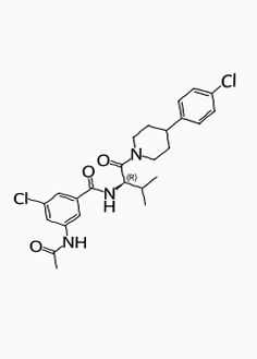 CC(=O)Nc1cc(Cl)cc(C(=O)N[C@@H](C(=O)N2CCC(c3ccc(Cl)cc3)CC2)C(C)C)c1